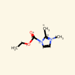 CCOC(=O)n1cc[n+](C)c1C